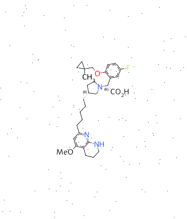 COc1cc(CCCCC[C@@H]2CCN([C@@H](C(=O)O)c3cc(F)ccc3OCC3(C)CC3)C2)nc2c1CCCN2